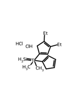 CCC1=C(CC)C[C]([Ti]([CH3])([CH3])(=[SiH2])[C]2=CC=CC2)=C1.Cl.Cl